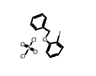 Ic1ccccc1OCc1ccccc1.O=S(=O)(Cl)Cl